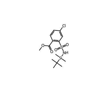 COC(=O)c1ccc(Cl)cc1S(=O)(=O)N[Si](C)(C)C(C)(C)C